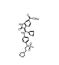 COC(=O)c1ccc2c(c1)NC(=O)/C2=C(\Nc1ccc(N(CCN2CCCC2)S(C)(=O)=O)cc1)c1ccccc1